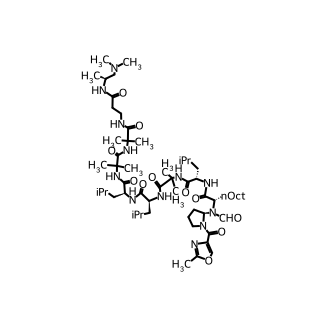 CCCCCCCC[C@@H](C(=O)N[C@@H](CC(C)C)C(=O)NC(C)(C)C(=O)N[C@@H](CC(C)C)C(=O)N[C@@H](CC(C)C)C(=O)NC(C)(C)C(=O)NC(C)(C)C(=O)NCCC(=O)N[C@@H](C)CN(C)C)N(C=O)[C@@H]1CCCN1C(=O)c1coc(C)n1